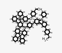 C=Cc1ccc(Oc2ccc(C3(c4ccccc4)c4ccccc4-c4ccc(N(c5ccc(-c6ccc7c(c6)c6cc(-c8ccc(C=C)cc8)ccc6n7-c6ccccc6)cc5)c5ccc6c(c5)C5(c7ccccc7-c7ccccc75)c5ccccc5-6)cc43)cc2)cc1